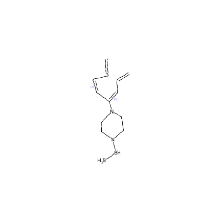 BBN1CCN(C(/C=C\C=C)=C/C=C)CC1